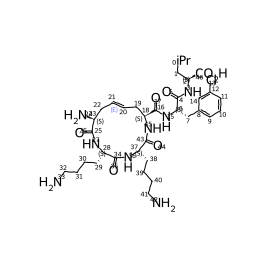 CC(C)C[C@H](NC(=O)[C@H](Cc1cccc(Cl)c1)NC(=O)[C@@H]1C/C=C/C[C@H](N)C(=O)N[C@@H](CCCCN)C(=O)N[C@@H](CCCCN)C(=O)N1)C(=O)O